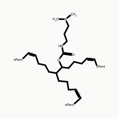 CCCCC/C=C\CCCC(CCC/C=C\CCCCC)C(CCC/C=C\CCCCC)OC(=O)NCCCN(C)C